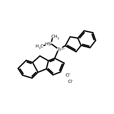 C[SiH](C)[Zr+2]([C]1=Cc2ccccc2C1)[c]1cccc2c1Cc1ccccc1-2.[Cl-].[Cl-]